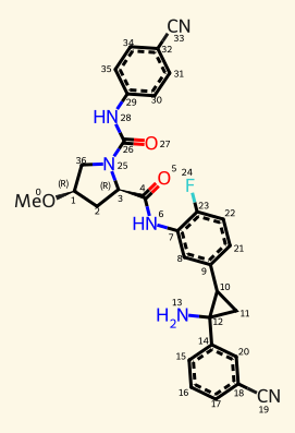 CO[C@@H]1C[C@H](C(=O)Nc2cc(C3CC3(N)c3cccc(C#N)c3)ccc2F)N(C(=O)Nc2ccc(C#N)cc2)C1